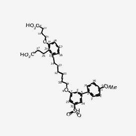 COc1ccc(-c2cc(OCCCCCCc3cccc(OCCCC(=O)O)c3CCC(=O)O)cc([SH](=O)=O)c2)cc1